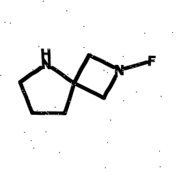 FN1CC2(CCCN2)C1